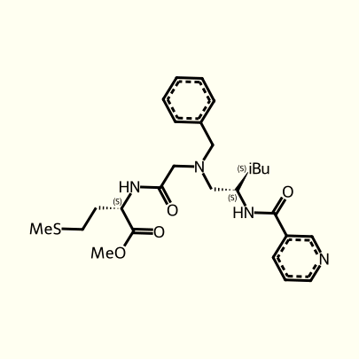 CC[C@H](C)[C@@H](CN(CC(=O)N[C@@H](CCSC)C(=O)OC)Cc1ccccc1)NC(=O)c1cccnc1